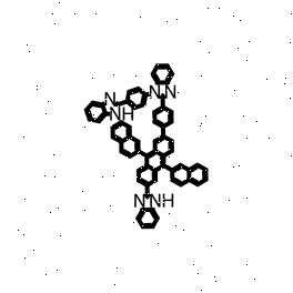 c1ccc2cc(-c3c4ccc(-c5nc6ccccc6[nH]5)cc4c(-c4ccc5ccccc5c4)c4ccc(-c5ccc(-c6nc7ccccc7n6-c6ccc(-c7nc8ccccc8[nH]7)cc6)cc5)cc34)ccc2c1